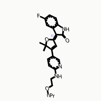 CCCOCCNc1ccc(C2=C/C(=C3\C(=O)Nc4ccc(F)cc43)OC2(C)C)cn1